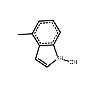 Cc1cccc2c1C=C[SH]2O